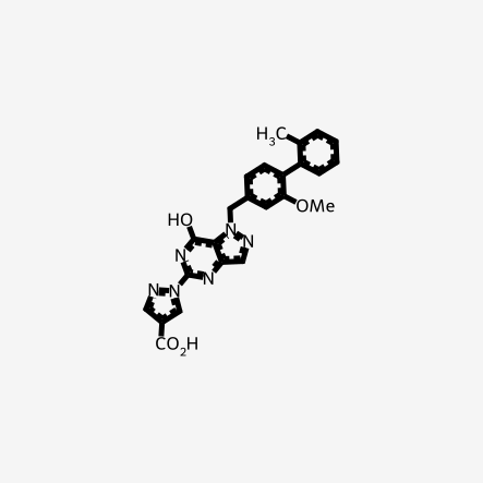 COc1cc(Cn2ncc3nc(-n4cc(C(=O)O)cn4)nc(O)c32)ccc1-c1ccccc1C